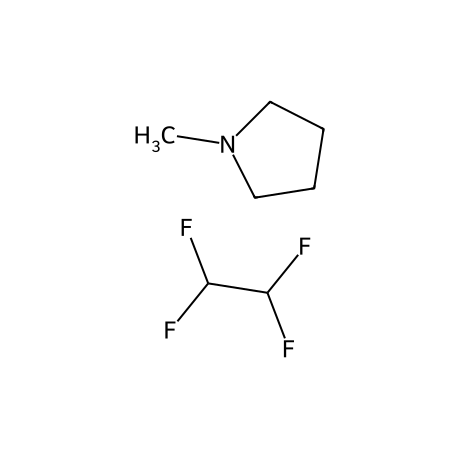 CN1CCCC1.FC(F)C(F)F